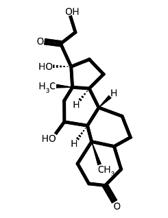 C[C@]12CCC(=O)CC1CC[C@@H]1[C@@H]2C(O)C[C@@]2(C)[C@H]1CC[C@]2(O)C(=O)CO